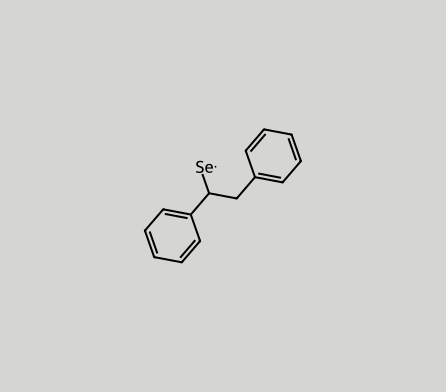 [Se]C(Cc1ccccc1)c1ccccc1